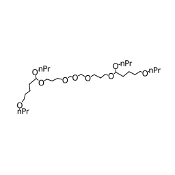 CCCOCCCCC(OCCC)OCCCOCOCOCCCOC(CCCCOCCC)OCCC